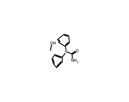 CO.NC(=O)N(c1ccccc1)c1ccccc1